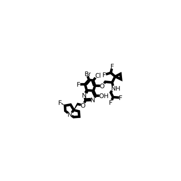 Oc1nc(OC[C@@]23CCCN2C[C@H](F)C3)nc2c(F)c(Br)c(Cl)c(OCC(NCC(F)F)C3(C(F)F)CC3)c12